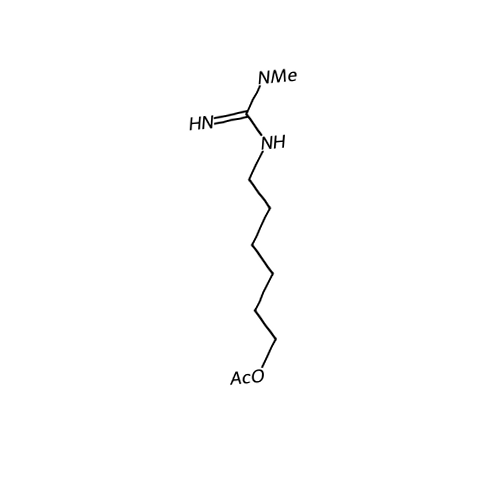 CNC(=N)NCCCCCCOC(C)=O